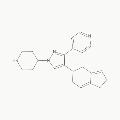 [C]1C2=CCCC2=CCC1c1cn(C2CCNCC2)nc1-c1ccncc1